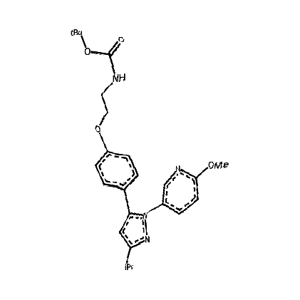 COc1ccc(-n2nc(C(C)C)cc2-c2ccc(OCCNC(=O)OC(C)(C)C)cc2)cn1